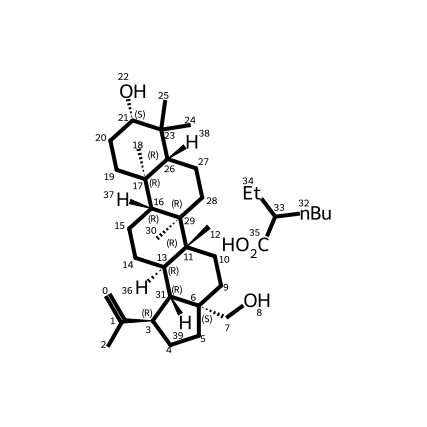 C=C(C)[C@@H]1CC[C@]2(CO)CC[C@]3(C)[C@H](CC[C@@H]4[C@@]5(C)CC[C@H](O)C(C)(C)[C@@H]5CC[C@]43C)[C@@H]12.CCCCC(CC)C(=O)O